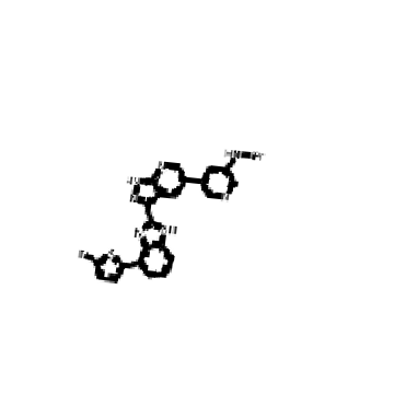 CC(C)Nc1cncc(-c2cnc3[nH]nc(-c4nc5c(-c6ccc(F)s6)cccc5[nH]4)c3c2)c1